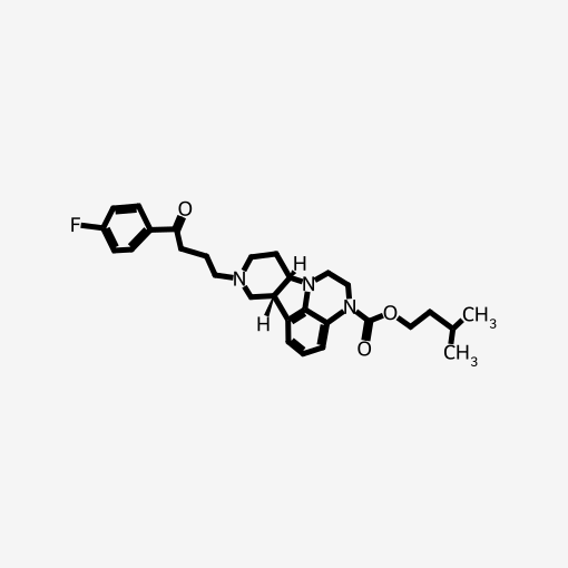 CC(C)CCOC(=O)N1CCN2c3c(cccc31)[C@@H]1CN(CCCC(=O)c3ccc(F)cc3)CC[C@@H]12